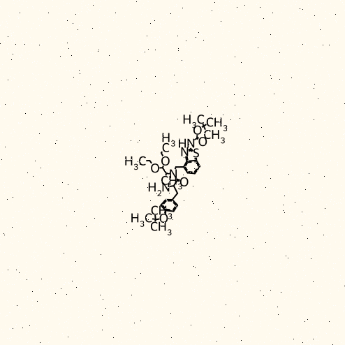 CCOC(OCC)C(C)N(Cc1cccc2sc(NC(=O)OC(C)(C)C)nc12)C(=O)C(N)Cc1ccc(OC(C)(C)C)cc1